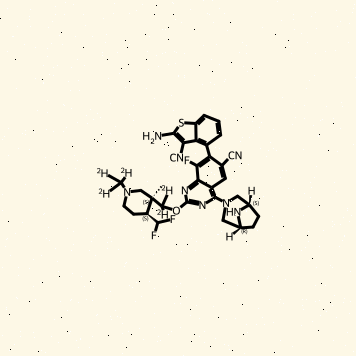 [2H]C([2H])([2H])N1CC[C@H](C(F)F)[C@](C)(C([2H])([2H])Oc2nc(N3C[C@H]4CC[C@@H](C3)N4)c3cc(C#N)c(-c4cccc5sc(N)c(C#N)c45)c(F)c3n2)C1